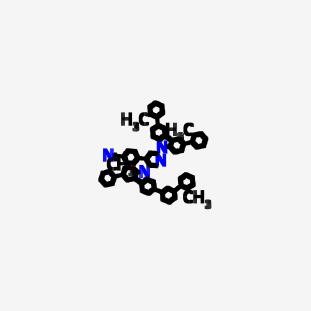 Cc1ccccc1-c1cccc(-c2ccc3c4cc(-c5ccccc5C)ccc4n(-c4cnc(-n5c6ccc(-c7ccccc7C)cc6c6cc(-c7ccccc7C)ccc65)cc4-c4ccc(C#N)cc4)c3c2)c1